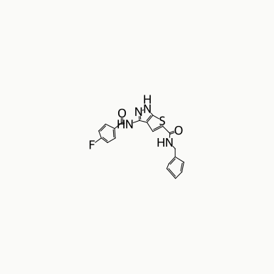 O=C(Nc1n[nH]c2sc(C(=O)NCc3ccccc3)cc12)c1ccc(F)cc1